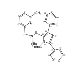 CCCCN(Cc1cccc(C)n1)Cc1c(-c2ccccc2)nc(-c2ccccc2)n1CCCC